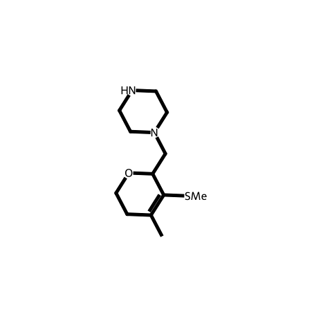 CSC1=C(C)CCOC1CN1CCNCC1